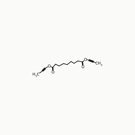 CC#COC(=O)CCCCCCCC(=O)OC#CC